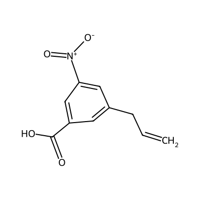 C=CCc1cc(C(=O)O)cc([N+](=O)[O-])c1